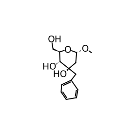 CO[C@@H]1C[C@](O)(Cc2ccccc2)[C@H](O)[C@@H](CO)O1